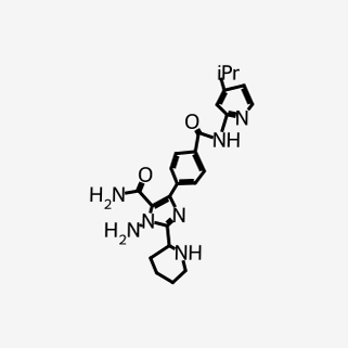 CC(C)c1ccnc(NC(=O)c2ccc(-c3nc(C4CCCCN4)n(N)c3C(N)=O)cc2)c1